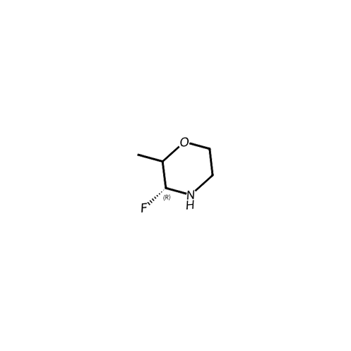 CC1OCCN[C@@H]1F